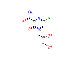 NC(=O)c1nc(Br)cn(CC(O)CO)c1=O